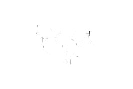 CCN(CC)[Si](C)(C)O[Si](C)(O[SiH](C)C)O[SiH](C)C